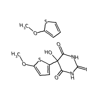 COc1ccc(C2(O)C(=O)NC(=O)NC2=O)s1.COc1cccs1